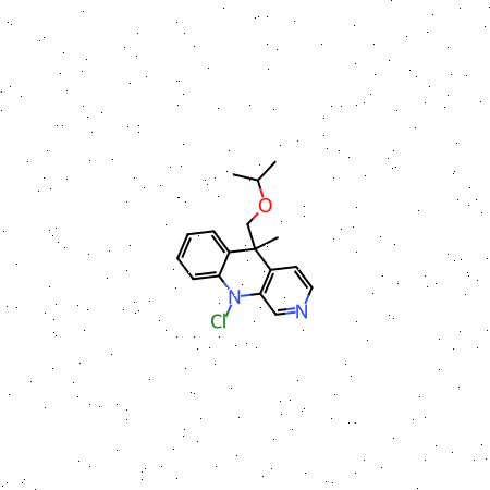 CC(C)OCC1(C)c2ccccc2N(Cl)c2cnccc21